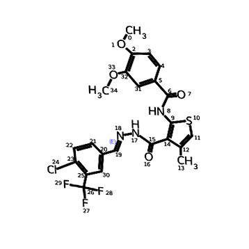 COc1ccc(C(=O)Nc2scc(C)c2C(=O)N/N=C/c2ccc(Cl)c(C(F)(F)F)c2)cc1OC